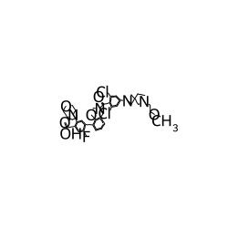 COCCN1CCC2(C1)CN(c1cc(Cl)c(C(=O)N3COc4c(cccc4-c4cc(N5C6CCC5COC6)c(C(=O)O)cc4F)C3)c(Cl)c1)C2